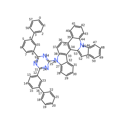 c1ccc(-c2cccc(-c3nc(-c4cccc(-c5ccccc5)c4)nc(-n4c5ccccc5c5c6c(ccc54)c4ccccc4n4c5ccccc5cc64)n3)c2)cc1